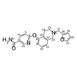 NC(=O)c1ccc(Oc2cccc3c2CCN(Cc2ccco2)C3)nc1